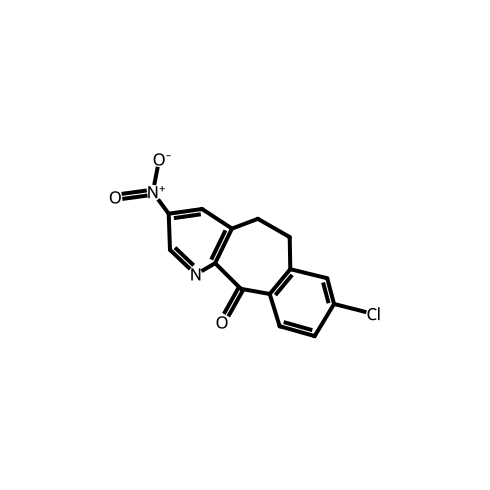 O=C1c2ccc(Cl)cc2CCc2cc([N+](=O)[O-])cnc21